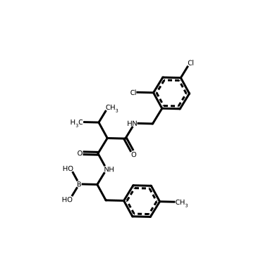 Cc1ccc(CC(NC(=O)C(C(=O)NCc2ccc(Cl)cc2Cl)C(C)C)B(O)O)cc1